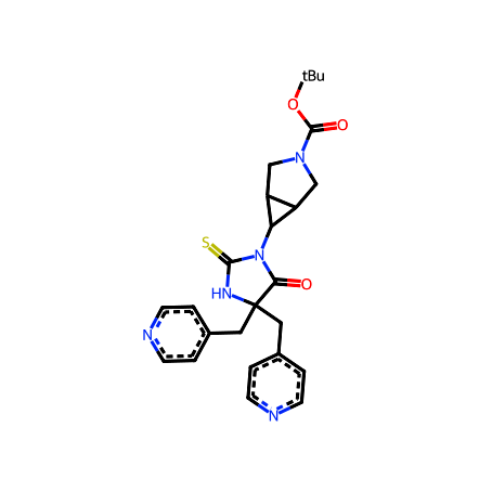 CC(C)(C)OC(=O)N1CC2C(C1)C2N1C(=O)C(Cc2ccncc2)(Cc2ccncc2)NC1=S